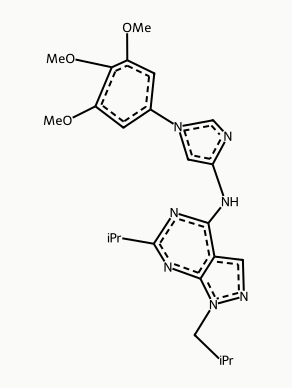 COc1cc(-n2cnc(Nc3nc(C(C)C)nc4c3cnn4CC(C)C)c2)cc(OC)c1OC